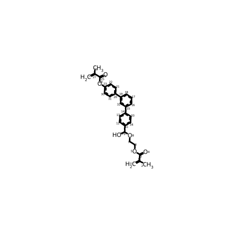 C=C(C)C(=O)OCCOC(O)c1ccc(-c2cccc(-c3ccc(OC(=O)C(=C)C)cc3)c2)cc1